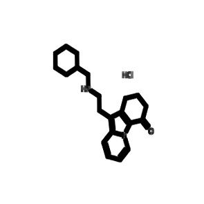 Cl.O=C1CCCc2c(CCNCC3CCCCC3)c3ccccn3c21